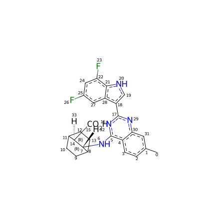 Cc1ccc2c(N[C@@H]3C4CCC(CC4)[C@H]3C(=O)O)nc(-c3c[nH]c4c(F)cc(F)cc34)nc2c1